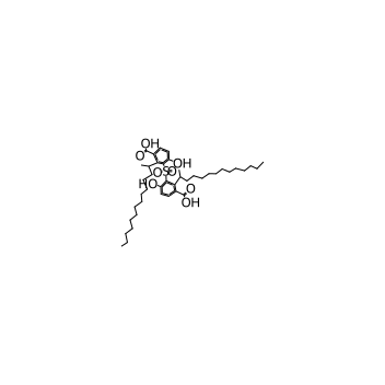 CCCCCCCCCCCCC(C)c1c(C(=O)O)ccc(O)c1S(=O)(=O)c1c(O)ccc(C(=O)O)c1C(C)CCCCCCCCCCCC